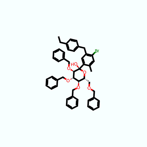 CCc1ccc(Cc2cc([C@]3(O)O[C@H](COCc4ccccc4)[C@@H](OCc4ccccc4)[C@H](OCc4ccccc4)[C@H]3OCc3ccccc3)c(C)cc2Br)cc1